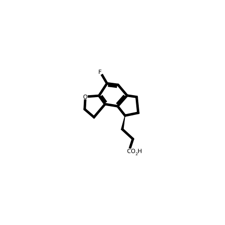 O=C(O)CC[C@@H]1CCc2cc(F)c3c(c21)CCO3